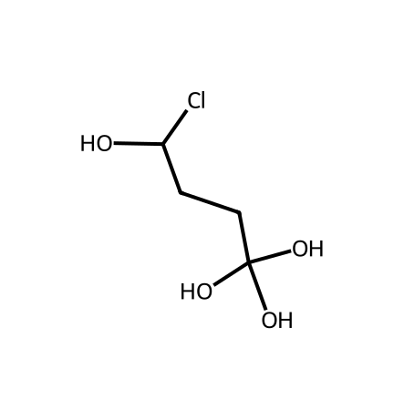 OC(Cl)CCC(O)(O)O